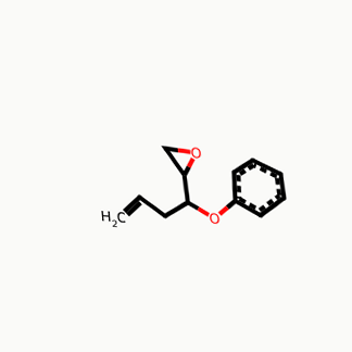 C=CCC(Oc1ccccc1)C1CO1